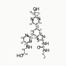 CCNC(=O)Nc1nc2cc(-c3cnc(C(C)(C)O)nc3)cc(-c3nccc(NCCO)n3)c2s1